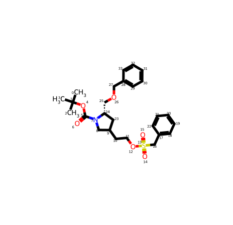 CC(C)(C)OC(=O)N1CC(CCOS(=O)(=O)Cc2ccccc2)C[C@H]1COCc1ccccc1